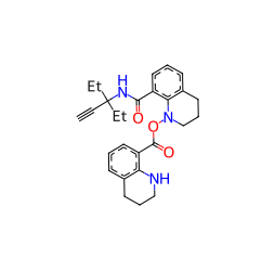 C#CC(CC)(CC)NC(=O)c1cccc2c1N(OC(=O)c1cccc3c1NCCC3)CCC2